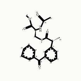 COC(=O)[C@H](CSC(=O)[C@H](C)c1cccc(C(=O)c2ccccc2)c1)NC(C)=O